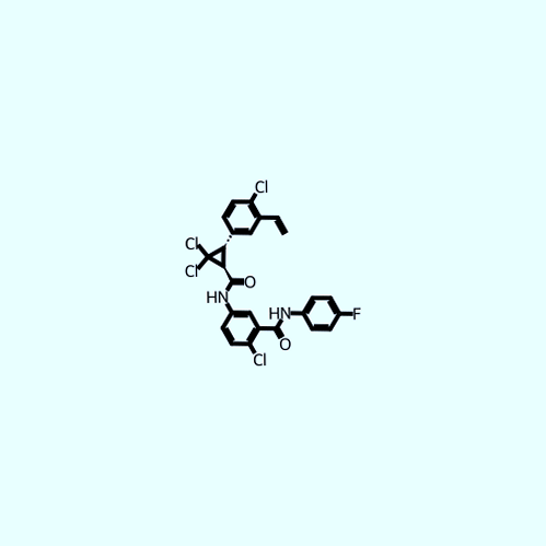 C=Cc1cc([C@@H]2[C@@H](C(=O)Nc3ccc(Cl)c(C(=O)Nc4ccc(F)cc4)c3)C2(Cl)Cl)ccc1Cl